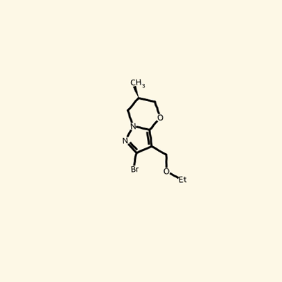 CCOCc1c(Br)nn2c1OC[C@H](C)C2